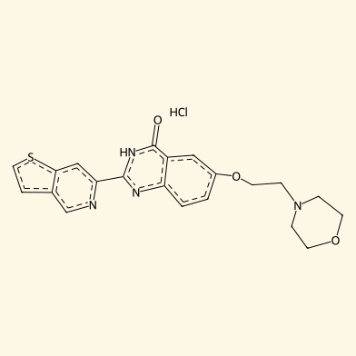 Cl.O=c1[nH]c(-c2cc3sccc3cn2)nc2ccc(OCCN3CCOCC3)cc12